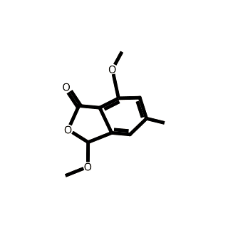 COc1cc(C)cc2c1C(=O)OC2OC